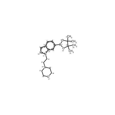 CC1(C)OB(c2ccc3cnn(CCN4CCOCC4)c3c2)OC1(C)C